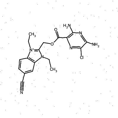 CCn1c(COC(=O)c2nc(Cl)c(N)nc2N)[n+](CC)c2ccc(C#N)cc21